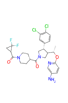 C[C@H](Oc1ccc(N)cn1)C1CN(C(=O)C2CCN(C(=O)C3CC3(F)F)CC2)C[C@@H]1c1ccc(Cl)c(Cl)c1